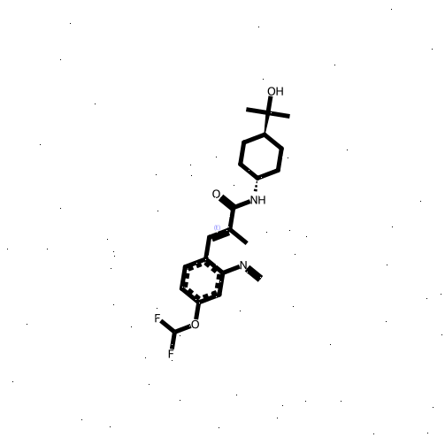 C=Nc1cc(OC(F)F)ccc1/C=C(\C)C(=O)N[C@H]1CC[C@H](C(C)(C)O)CC1